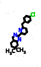 CC1(C)CCc2cnc(-c3cccc(Cc4ccc(Cl)cc4)n3)nc2C1